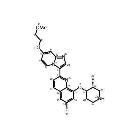 COCCOc1ccn2c(-c3ccc4cc(F)cc(O[C@@H]5CCNC[C@@H]5F)c4n3)cnc2c1